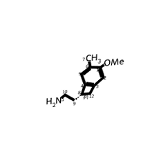 COc1cc2c(cc1C)[C@@H](CCN)C2